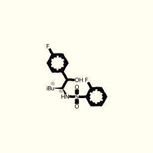 CC[C@H](C)[C@H](NS(=O)(=O)c1ccccc1F)C(O)c1ccc(F)cc1